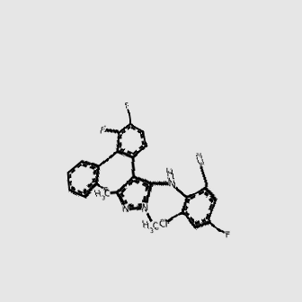 Cc1nn(C)c(Nc2c(Cl)cc(F)cc2Cl)c1-c1ccc(F)c(F)c1-c1ccccc1F